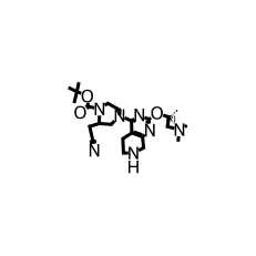 C[C@H](CN(C)C)Oc1nc2c(c(N3CCN(C(=O)OC(C)(C)C)C(CC#N)C3)n1)CCNC2